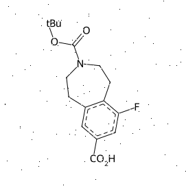 CC(C)(C)OC(=O)N1CCc2cc(C(=O)O)cc(F)c2CC1